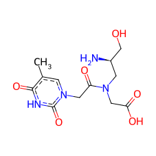 Cc1cn(CC(=O)N(CC(=O)O)C[C@@H](N)CO)c(=O)[nH]c1=O